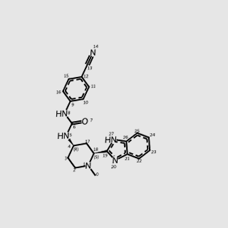 CN1CC[C@@H](NC(=O)Nc2ccc(C#N)cc2)C[C@H]1c1nc2ccccc2[nH]1